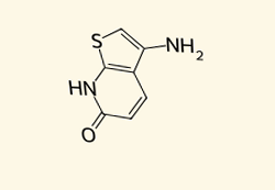 Nc1csc2[nH]c(=O)ccc12